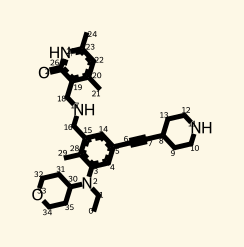 CCN(c1cc(C#CC2CCNCC2)cc(CNCc2c(C)cc(C)[nH]c2=O)c1C)C1CCOCC1